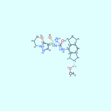 COC[C@H]1Cc2cc3c(c(NC(=O)N=[S@@](N)(=O)c4cnn5c4OCCC5)c2C1)CCC3